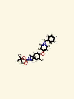 C[C@H]1CC2(CC[C@@H]1OC1=CCN(Cc3ccccc3)CC1)CN(C(=O)OC(C)(C)C)C2